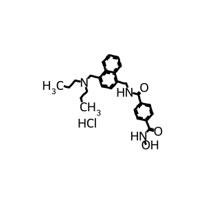 CCCN(CCC)Cc1ccc(CNC(=O)c2ccc(C(=O)NO)cc2)c2ccccc12.Cl